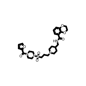 O=C(NCC1CCN(CCCS(=O)(=O)N2CCN(C(=O)c3ccco3)CC2)CC1)c1cccc2c1OCCO2